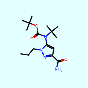 CCCn1nc(C(N)=O)cc1N(C(=O)OC(C)(C)C)C(C)(C)C